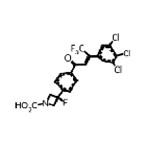 O=C(C=C(c1cc(Cl)c(Cl)c(Cl)c1)C(F)(F)F)c1ccc(C2(F)CN(C(=O)O)C2)cc1